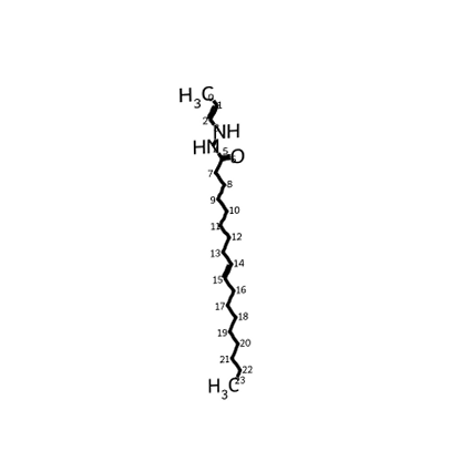 CC=CNNC(=O)CCCCCCCC=CCCCCCCCC